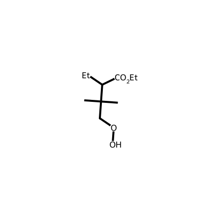 CCOC(=O)C(CC)C(C)(C)COO